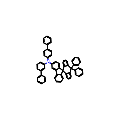 c1ccc(-c2ccc(N(c3cccc(-c4ccccc4)c3)c3ccc4c(c3)-c3ccccc3C43c4ccccc4C(c4ccccc4)(c4ccccc4)c4ccccc43)cc2)cc1